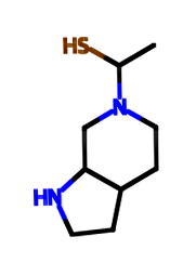 CC(S)N1CCC2CCNC2C1